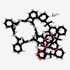 CC(C)(c1ccccc1)c1ccccc1Oc1c(Oc2ccccc2C(C)(C)c2ccccc2)c(Oc2ccccc2C(C)(C)c2ccccc2)c2c3nc4nc(nc5[nH]c(nc6nc(nc([nH]3)c2c1Oc1ccccc1C(C)(C)c1ccccc1)-c1ccccc1-6)c1ccccc51)-c1ccccc1-4.[Cu+2]